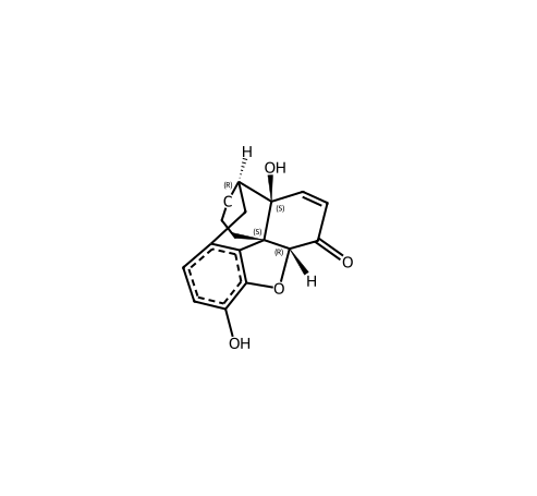 O=C1C=C[C@@]2(O)[C@@H]3CCC[C@@]24c2c(ccc(O)c2O[C@@H]14)C3